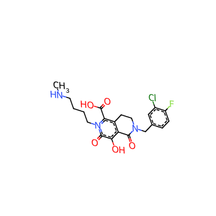 CNCCCCn1c(C(=O)O)c2c(c(O)c1=O)C(=O)N(Cc1ccc(F)c(Cl)c1)CC2